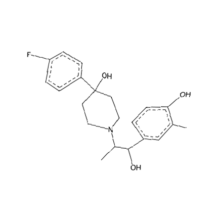 Cc1cc(C(O)C(C)N2CCC(O)(c3ccc(F)cc3)CC2)ccc1O